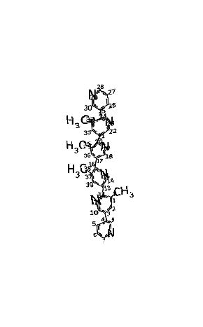 Cc1cc(-c2cccnc2)cnc1-c1cnc(-c2cnc(-c3cnc(-c4cccnc4)c(C)c3)c(C)c2)c(C)c1